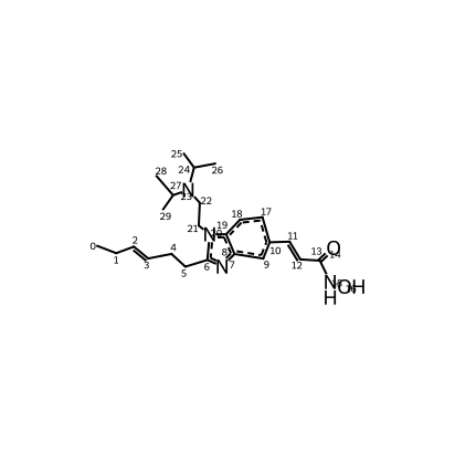 CCC=CCCc1nc2cc(C=CC(=O)NO)ccc2n1CCN(C(C)C)C(C)C